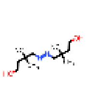 CC(C#N)(CCO)CN=NCC(C)(C#N)CCO